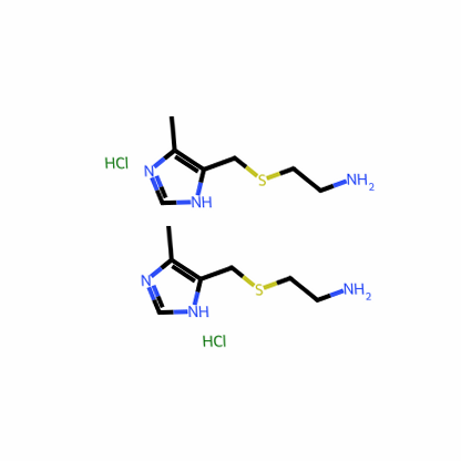 Cc1nc[nH]c1CSCCN.Cc1nc[nH]c1CSCCN.Cl.Cl